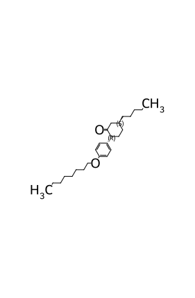 CCCCCCCCOc1ccc([C@H]2CC[C@H](CCCCC)CC2=O)cc1